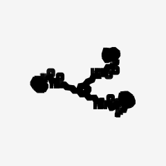 CN(CC1C2CC3CC(C2)CC1C3)C(=O)CC(=O)NCCCCc1cc(CCCCNC(=O)CC(=O)N(C)C23CC4CC(CC(C4)C2)C3)cc(CCCCNC(=O)CC(=O)N(C)C23CC4CC(CC(C4)C2)C3)c1